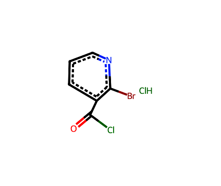 Cl.O=C(Cl)c1cccnc1Br